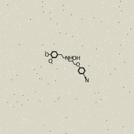 COc1ccc(CCNCC(O)COc2ccc(C#N)cc2)cc1OC